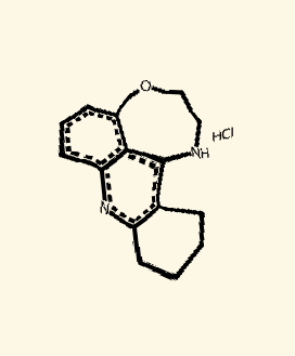 Cl.c1cc2c3c(c4c(nc3c1)CCCC4)NCCO2